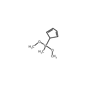 CO[Si](C)(OC)C1C=CC=C1